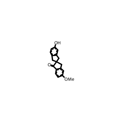 COc1ccc2c(c1)CC1(Cc3ccc(O)cc3C1)C2=O